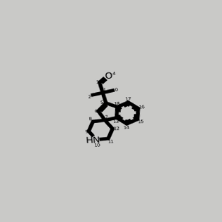 CC(C)(C=O)C1=CC2(CCNCC2)c2ccccc21